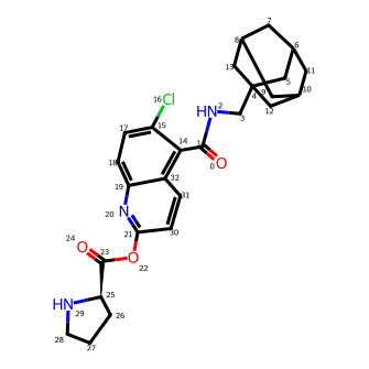 O=C(NCC12CC3CC(CC(C3)C1)C2)c1c(Cl)ccc2nc(OC(=O)[C@H]3CCCN3)ccc12